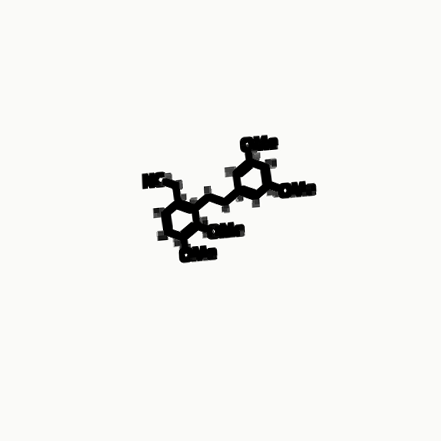 COc1cc(CCc2c(CC#N)ccc(OC)c2OC)cc(OC)c1